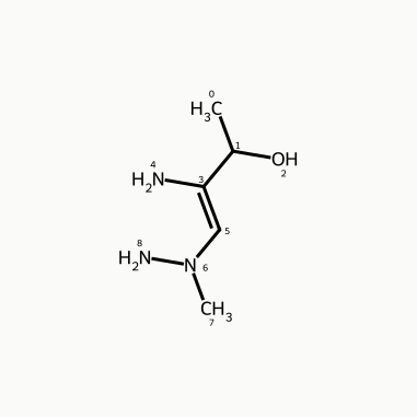 CC(O)/C(N)=C/N(C)N